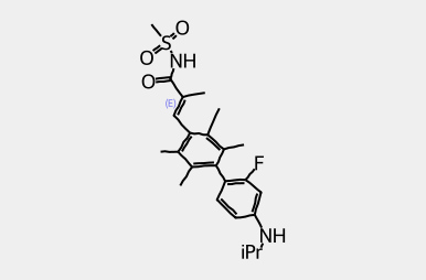 C/C(=C\c1c(C)c(C)c(-c2ccc(NC(C)C)cc2F)c(C)c1C)C(=O)NS(C)(=O)=O